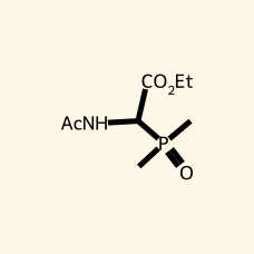 CCOC(=O)C(NC(C)=O)P(C)(C)=O